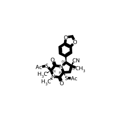 CC(=O)S[C@@]1(C)C(=O)N2[C@@H](c3ccc4c(c3)OCO4)[C@@](C)(C#N)C[C@@]2(SC(C)=O)C(=O)N1C